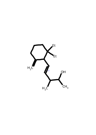 C=C1CCCC(CC)(CC)C1/C=C/C(C)C(C)O